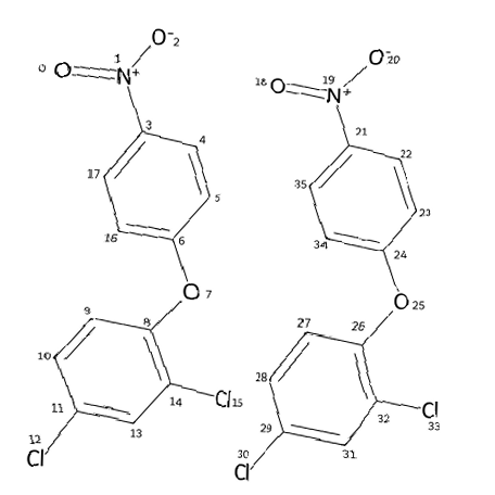 O=[N+]([O-])c1ccc(Oc2ccc(Cl)cc2Cl)cc1.O=[N+]([O-])c1ccc(Oc2ccc(Cl)cc2Cl)cc1